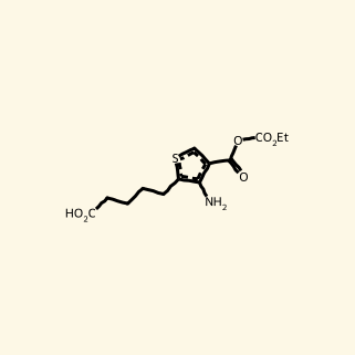 CCOC(=O)OC(=O)c1csc(CCCCC(=O)O)c1N